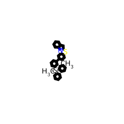 Cc1cc2sc3cc4ccccc4n3c2cc1-c1cccc([Si](C)(c2ccccc2)c2ccccc2)c1